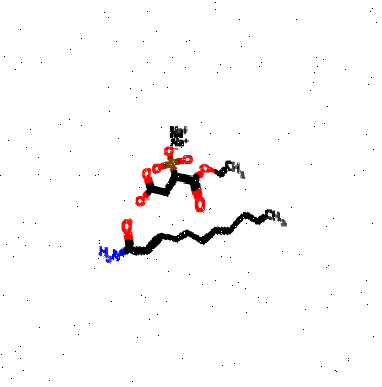 CCCCCCCCC=CC(N)=O.CCOC(=O)C(CC(=O)[O-])S(=O)(=O)[O-].[Na+].[Na+]